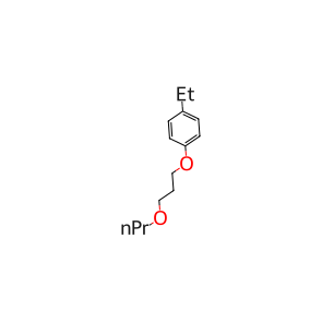 CCCOCCCOc1ccc(CC)cc1